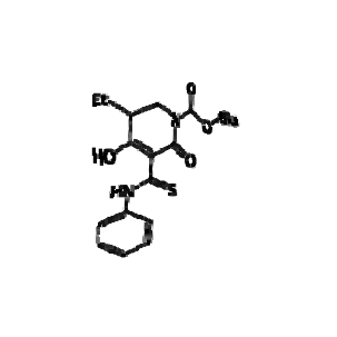 CCC1CN(C(=O)OC(C)(C)C)C(=O)C(C(=S)Nc2ccccc2)=C1O